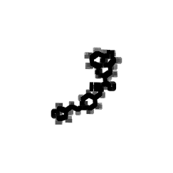 O=C(NCC1CCN(CCc2ccoc2)CC1)C1=Cc2cnc3cccc(n23)S1